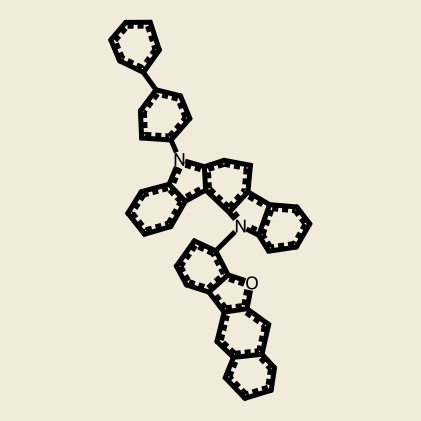 c1ccc(-c2ccc(-n3c4ccccc4c4c3ccc3c5ccccc5n(-c5cccc6c5oc5cc7ccccc7cc56)c34)cc2)cc1